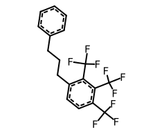 FC(F)(F)c1ccc(CCCc2ccccc2)c(C(F)(F)F)c1C(F)(F)F